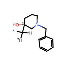 [2H]C([2H])([2H])[C@@]1(O)CCCN(Cc2ccccc2)C1